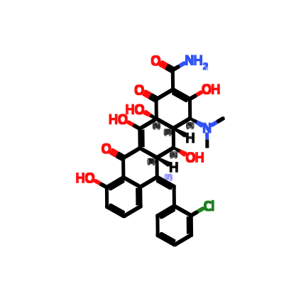 CN(C)[C@@H]1C(O)=C(C(N)=O)C(=O)[C@@]2(O)C(O)=C3C(=O)c4c(O)cccc4/C(=C\c4ccccc4Cl)[C@H]3[C@H](O)[C@@H]12